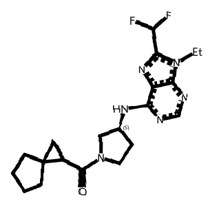 CCn1c(C(F)F)nc2c(N[C@H]3CCN(C(=O)C4CC45CCCC5)C3)ncnc21